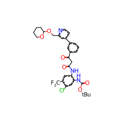 CC(C)(C)OC(=O)Nc1cc(Cl)c(C(F)(F)F)cc1NC(=O)CC(=O)c1cccc(-c2ccnc(COC3CCCCO3)c2)c1